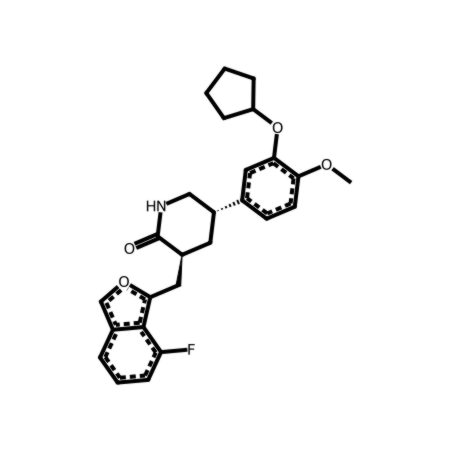 COc1ccc([C@H]2CNC(=O)[C@H](Cc3occ4cccc(F)c34)C2)cc1OC1CCCC1